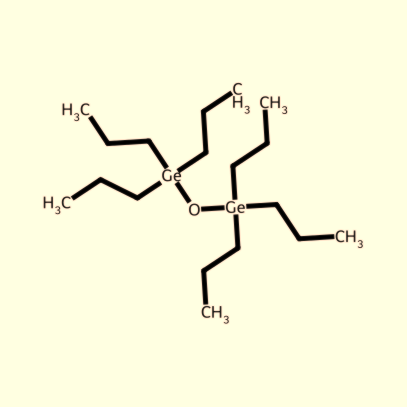 CC[CH2][Ge]([CH2]CC)([CH2]CC)[O][Ge]([CH2]CC)([CH2]CC)[CH2]CC